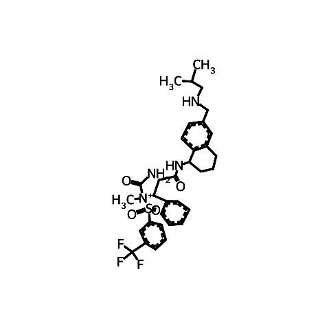 CC(C)CNCc1ccc2c(c1)CCCC2NC(=O)CC(c1ccccc1)[N+](C)(C(N)=O)S(=O)(=O)c1cccc(C(F)(F)F)c1